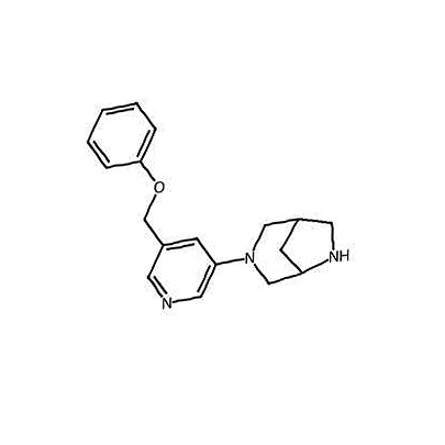 c1ccc(OCc2cncc(N3CC4CNC(C4)C3)c2)cc1